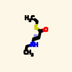 CCN/C=C/C(=O)SCC